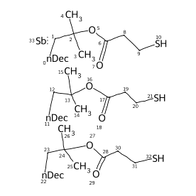 CCCCCCCCCCCC(C)(C)OC(=O)CCS.CCCCCCCCCCCC(C)(C)OC(=O)CCS.CCCCCCCCCCCC(C)(C)OC(=O)CCS.[Sb]